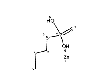 CCCSP(O)(O)=S.[Zn]